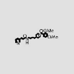 COc1ccc(C(=O)N2CCC(CCCCNC(=O)/C=C/c3cccnc3)CC2)c(OC)c1